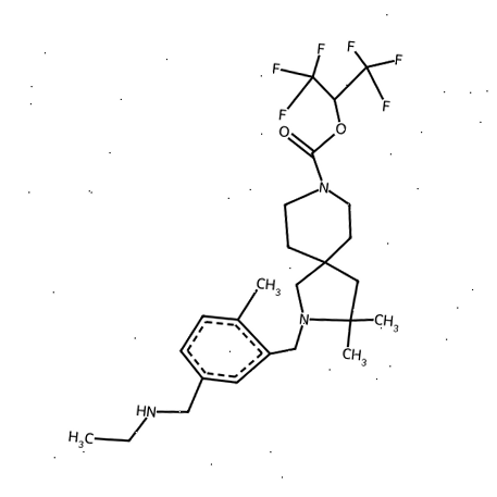 CCNCc1ccc(C)c(CN2CC3(CCN(C(=O)OC(C(F)(F)F)C(F)(F)F)CC3)CC2(C)C)c1